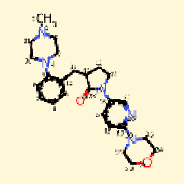 CN1CCN(c2ccccc2CC2CCN(c3ccc(N4CCOCC4)nc3)C2=O)CC1